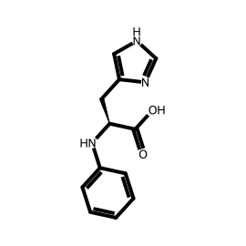 O=C(O)[C@H](Cc1c[nH]cn1)Nc1ccccc1